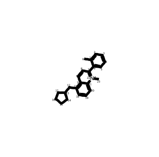 Cc1ccccc1-c1ccc2c(CC3CCCC3)cccc2[n+]1C